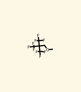 COCC(C(F)(F)F)(C(F)(F)F)C(F)(F)F